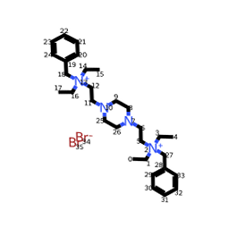 CC[N+](CC)(CCN1CCN(CC[N+](CC)(CC)Cc2ccccc2)CC1)Cc1ccccc1.[Br-].[Br-]